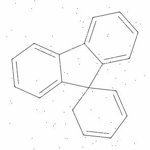 C1=CCC2(C=C1)c1ccccc1-c1ccccc12